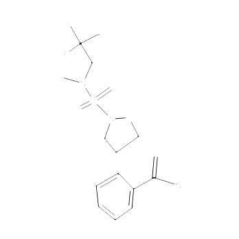 CN(CC(F)(F)F)S(=O)(=O)N1C[C@@H](c2ccccc2C(N)=O)CO1